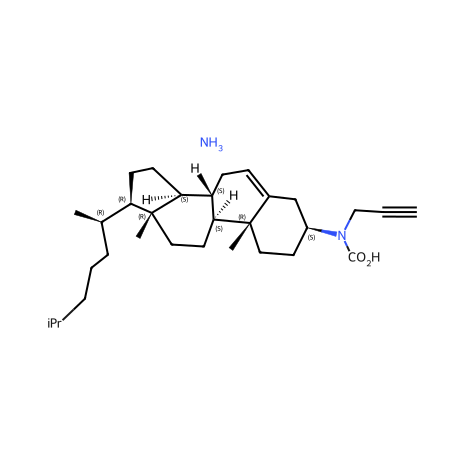 C#CCN(C(=O)O)[C@H]1CC[C@@]2(C)C(=CC[C@H]3[C@@H]4CC[C@H]([C@H](C)CCCC(C)C)[C@@]4(C)CC[C@@H]32)C1.N